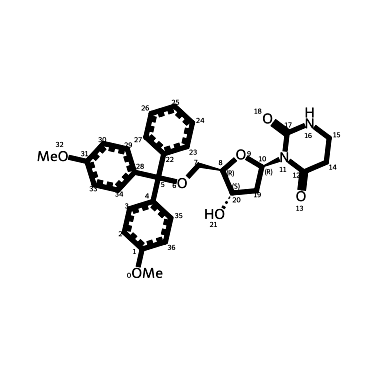 COc1ccc(C(OC[C@H]2O[C@@H](N3C(=O)CCNC3=O)C[C@@H]2O)(c2ccccc2)c2ccc(OC)cc2)cc1